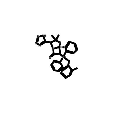 Cc1ccccc1C[N+](c1ccccc1)(c1ccccc1)C1C(=O)N2C(c3nnn[nH]3)C(C)(C)S[C@@H]12